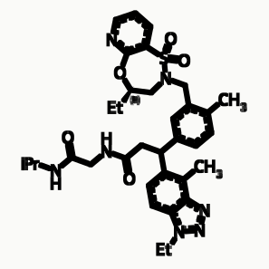 CC[C@@H]1CN(Cc2cc(C(CC(=O)NCC(=O)NC(C)C)c3ccc4c(nnn4CC)c3C)ccc2C)S(=O)(=O)c2cccnc2O1